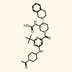 CC(=O)N1CCC(Nc2cc(C(=O)N3CC[C@@H](N4CCc5ccccc5C4)[C@H](NC(=O)O)C3)nc(C(C)(C)C)n2)CC1